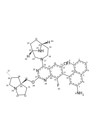 CCc1cccc2cc(N)cc(-c3c(Cl)cc4c(N5CC[C@H]6CC[C@@H](C5)N6)nc(OC[C@@]56CCCN5C[C@H](C)C6)nc4c3F)c12